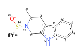 CC1Cc2c([nH]c3ccccc23)CN1[S@@+]([O-])C(C)C